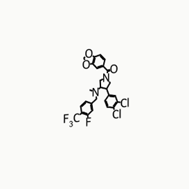 CN(Cc1ccc(C(F)(F)F)c(F)c1)C1CN(C(=O)c2ccc3c(c2)OCO3)CC1c1ccc(Cl)c(Cl)c1